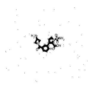 NC1CN(C(=O)c2cccc(-c3ccn(S(N)(=O)=O)c3C(O)O)c2)C1